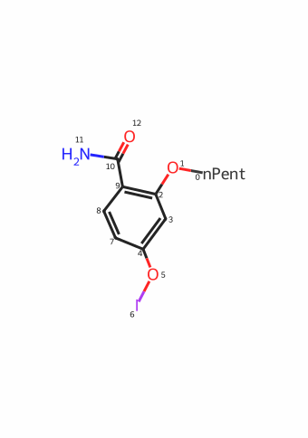 CCCCCOc1cc(OI)ccc1C(N)=O